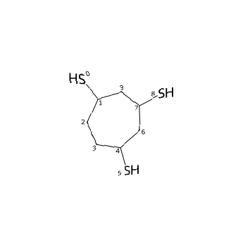 SC1CCC(S)CC(S)C1